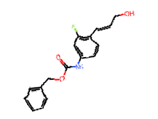 O=C(Nc1ccc(C=CCO)c(F)c1)OCc1ccccc1